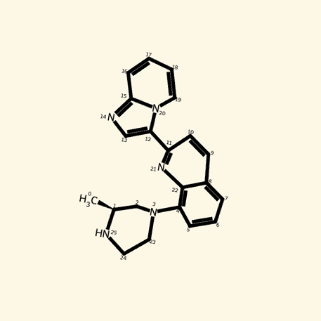 C[C@H]1CN(c2cccc3ccc(-c4cnc5ccccn45)nc23)CCN1